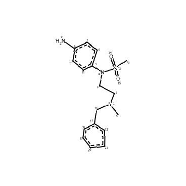 CN(CCN(c1ccc(N)cc1)S(C)(=O)=O)Cc1ccccc1